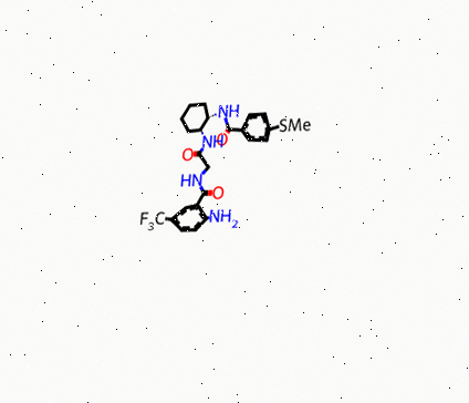 CSc1ccc(C(=O)N[C@H]2CCCC[C@H]2NC(=O)CNC(=O)c2cc(C(F)(F)F)ccc2N)cc1